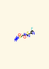 CN(C(=O)CC[S+]([O-])CN=[N+]=[N-])c1cnc(-c2cncc(F)c2)s1